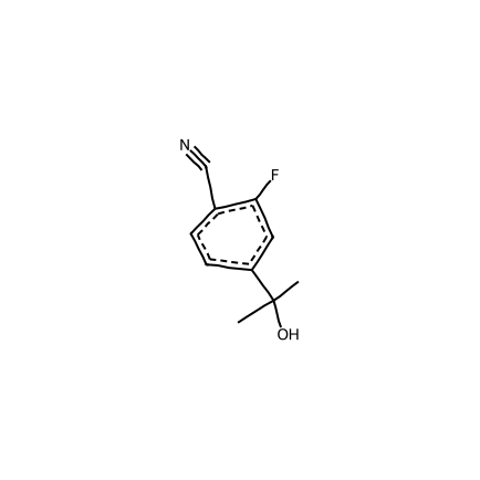 CC(C)(O)c1ccc(C#N)c(F)c1